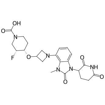 Cn1c(=O)n(C2CCC(=O)NC2=O)c2cccc(N3CC(O[C@H]4CCN(C(=O)O)C[C@H]4F)C3)c21